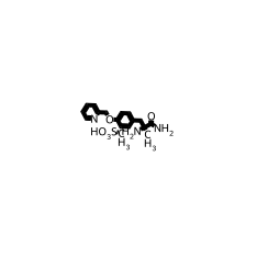 CC(N)(Cc1ccc(OCc2ccccn2)cc1)C(N)=O.CS(=O)(=O)O